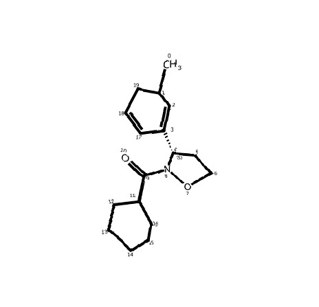 CC1C=C([C@@H]2CCON2C(=O)C2CCCCC2)C=CC1